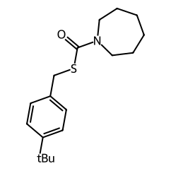 CC(C)(C)c1ccc(CSC(=O)N2CCCCCC2)cc1